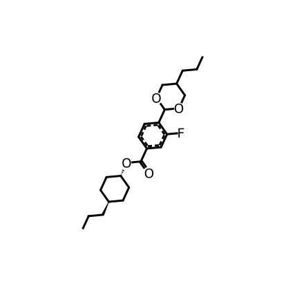 CCCC1COC(c2ccc(C(=O)O[C@H]3CC[C@H](CCC)CC3)cc2F)OC1